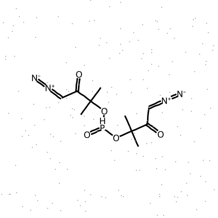 CC(C)(O[PH](=O)OC(C)(C)C(=O)C=[N+]=[N-])C(=O)C=[N+]=[N-]